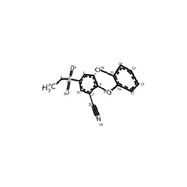 CCS(=O)(=O)c1ccc(Oc2c[c]ccc2Cl)c(C#N)c1